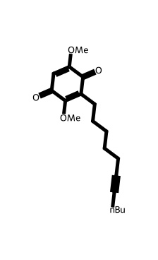 CCCCC#CCCCCCC1=C(OC)C(=O)C=C(OC)C1=O